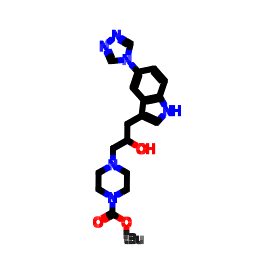 CC(C)(C)OC(=O)N1CCN(CC(O)Cc2c[nH]c3ccc(-n4cnnc4)cc23)CC1